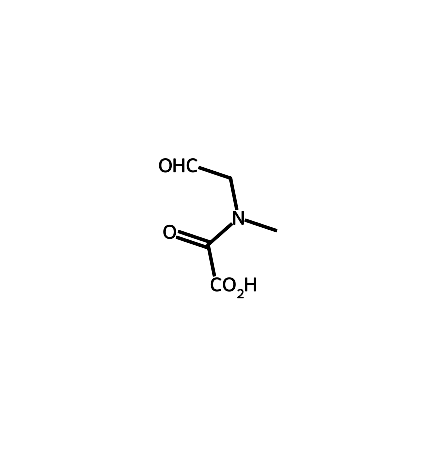 CN(CC=O)C(=O)C(=O)O